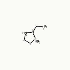 Br.CCCCN1NCCS1